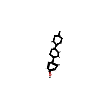 CC1CCC(C2CCC(c3ccc(Br)cc3)CC2)CC1